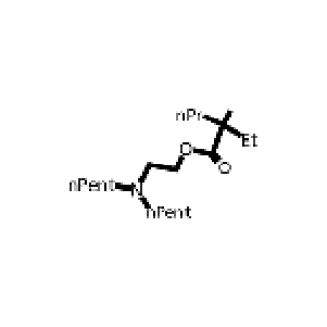 CCCCCN(CCCCC)CCOC(=O)C(C)(CC)CCC